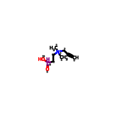 C#CC[N+](C)(C)CC[PH](=O)O